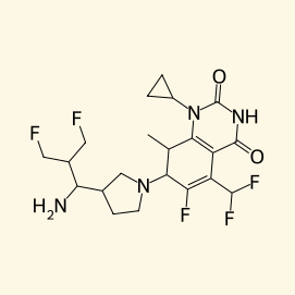 CC1c2c(c(=O)[nH]c(=O)n2C2CC2)C(C(F)F)=C(F)C1N1CCC(C(N)C(CF)CF)C1